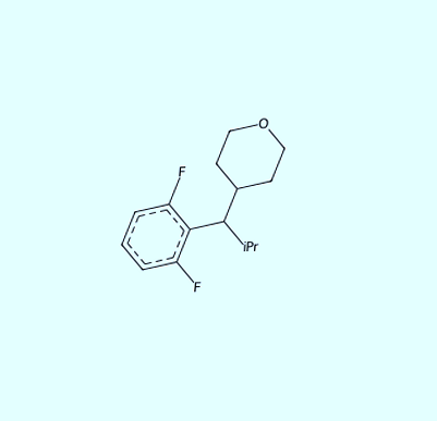 CC(C)C(c1c(F)cccc1F)C1CCOCC1